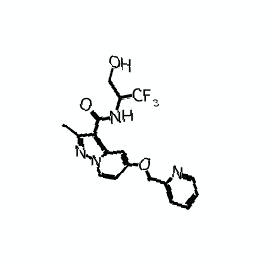 Cc1nn2ccc(OCc3ccccn3)cc2c1C(=O)NC(CO)C(F)(F)F